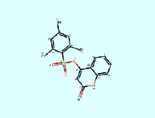 CC(C)c1cc(C(C)C)c(S(=O)(=O)Oc2cc(=O)oc3ccccc23)c(C(C)C)c1